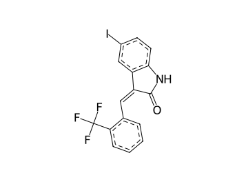 O=C1Nc2ccc(I)cc2C1=Cc1ccccc1C(F)(F)F